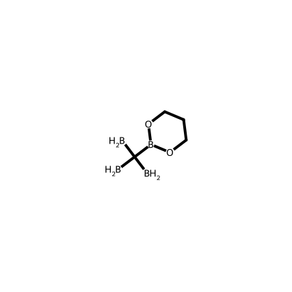 BC(B)(B)B1OCCCO1